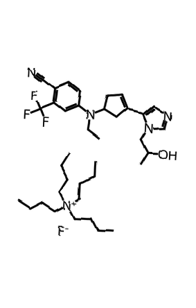 CCCC[N+](CCCC)(CCCC)CCCC.CCN(c1ccc(C#N)c(C(F)(F)F)c1)C1CC=C(c2cncn2CC(C)O)C1.[F-]